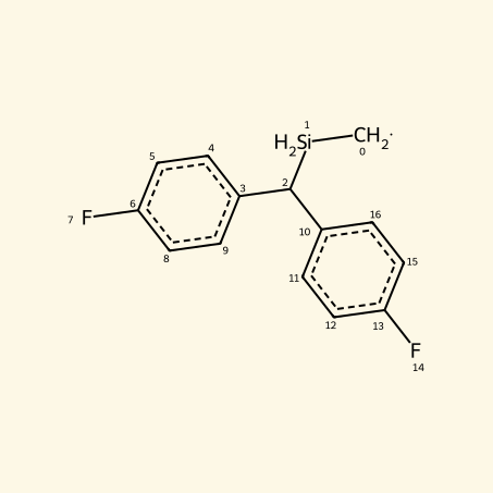 [CH2][SiH2]C(c1ccc(F)cc1)c1ccc(F)cc1